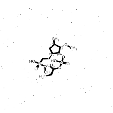 BC1C[C@H](CCP(=O)(O)OC)[C@@H](OP(=O)(O)OC(C)CC)[C@H]1OC